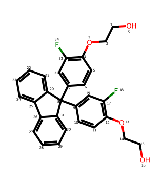 OCCOc1ccc(C2(c3ccc(OCCO)c(F)c3)c3ccccc3-c3ccccc32)cc1F